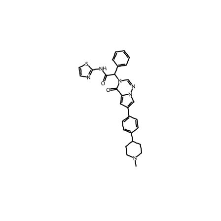 CN1CCC(c2ccc(-c3cc4c(=O)n(C(C(=O)Nc5nccs5)c5ccccc5)cnn4c3)cc2)CC1